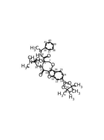 C[C@H](NC(=O)[C@@]1(C)COc2c(oc3cc(B4OC(C)(C)C(C)(C)O4)ccc23)C(=O)N1CC(=O)N(C)C)c1ccccc1